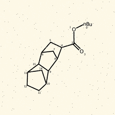 CCCCOC(=O)C1CC2CC1C1C3CCC(C3)C21